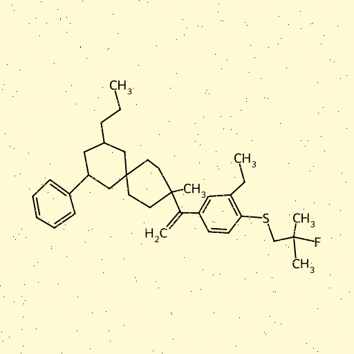 C=C(c1ccc(SCC(C)(C)F)c(CC)c1)C1(C)CCC2(CC1)CC(CCC)CC(c1ccccc1)C2